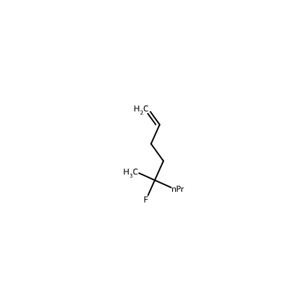 C=CCCC(C)(F)CCC